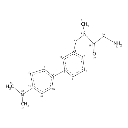 CN(Cc1cccc(-c2ccc(N(C)C)cc2)c1)C(=O)CN